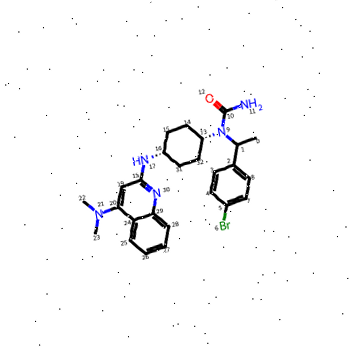 CC(c1ccc(Br)cc1)N(C(N)=O)[C@H]1CC[C@@H](Nc2cc(N(C)C)c3ccccc3n2)CC1